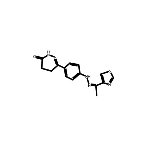 CC(=NNc1ccc(C2=NNC(=O)CC2)cc1)c1cscn1